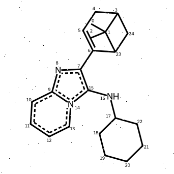 CC1(C)C2CC=C(c3nc4ccccn4c3NC3CCCCC3)C1C2